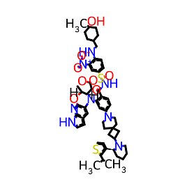 CC(C)c1sccc1[C@@H]1CCCCN1C1CC2(CCN(c3ccc(C(=O)NS(=O)(=O)c4ccc(NCC5CCC(C)(O)CC5)c([N+](=O)[O-])c4)c(N4c5cc6cc[nH]c6nc5O[C@H]5COCC[C@@H]54)c3)CC2)C1